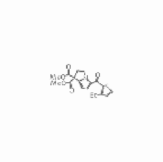 CCc1ccsc1C(=O)c1ccc2n1CCC2(C(=O)OC)C(=O)OC